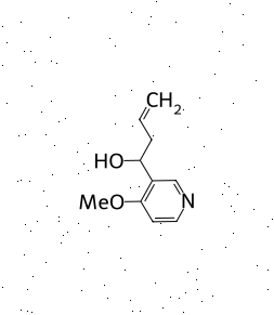 C=CCC(O)c1cnccc1OC